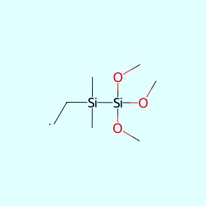 [CH2]C[Si](C)(C)[Si](OC)(OC)OC